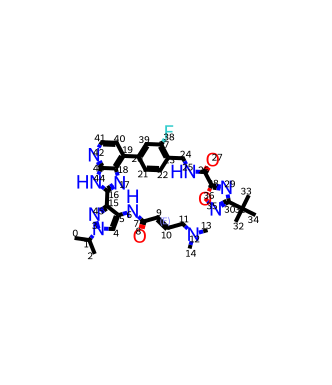 CC(C)n1cc(NC(=O)/C=C/CN(C)C)c(-c2nc3c(-c4ccc(CNC(=O)c5nc(C(C)(C)C)no5)c(F)c4)ccnc3[nH]2)n1